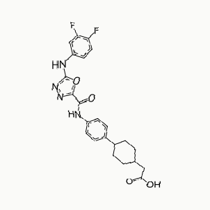 O=C(O)CC1CCC(c2ccc(NC(=O)c3nnc(Nc4ccc(F)c(F)c4)o3)cc2)CC1